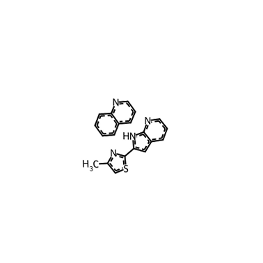 Cc1csc(-c2cc3cccnc3[nH]2)n1.c1ccc2ncccc2c1